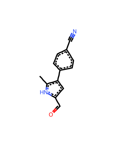 Cc1[nH]c(C=O)cc1-c1ccc(C#N)cc1